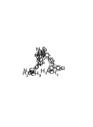 COC(=O)c1ccc(N2CCN(CC3=C(c4ccc(Cl)cc4)CC(C)(C)CC3)CC2)cc1N1c2cc3ccn(COCC[Si](C)(C)C)c3nc2O[C@H]2COC[C@@H]21